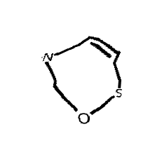 C1=CSOC[N]1